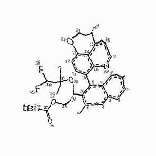 Cc1cc2ccccc2c(-c2ccc3c4c(ccnc24)CCO3)c1[C@@H](COC(=O)C(C)(C)C)OC(C)(C)C(F)F